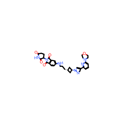 O=C1CCC(N2C(=O)c3ccc(NCCC[C@H]4C[C@H](n5cc(-c6cccc(N7CCOCC7)n6)cn5)C4)cc3C2=O)C(=O)N1